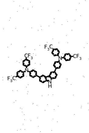 FC(F)(F)c1ccc(N(c2ccc(-c3ccc4[nH]c5ccc(-c6ccc(N(c7ccc(C(F)(F)F)cc7)c7ccc(C(F)(F)F)cc7)cc6)cc5c4c3)cc2)c2ccc(C(F)(F)F)cc2)cc1